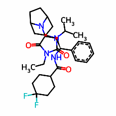 CCN1C(=O)N(C(C)C)C2(CC3CCC(C2)N3CC[C@H](NC(=O)C2CCC(F)(F)CC2)c2ccccc2)C1=O